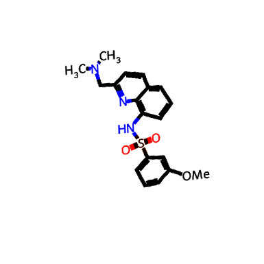 COc1cccc(S(=O)(=O)Nc2cccc3ccc(CN(C)C)nc23)c1